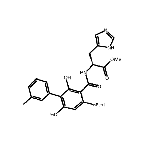 CCCCCc1cc(O)c(-c2cccc(C)c2)c(O)c1C(=O)N[C@@H](Cc1cnc[nH]1)C(=O)OC